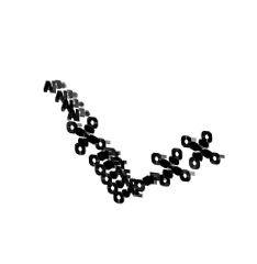 CC(=O)[O-].CC(=O)[O-].CC(=O)[O-].CC(C)[O-].CC(C)[O-].CC(C)[O-].O=S(=O)([O-])[O-].O=S(=O)([O-])[O-].O=S(=O)([O-])[O-].[Al+3].[Al+3].[Al+3].[Al+3]